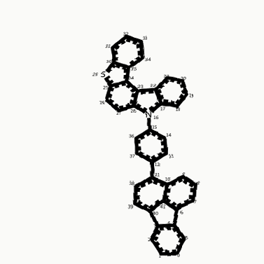 c1ccc2c(c1)-c1cccc3c(-c4ccc(-n5c6ccccc6c6c7c(ccc65)sc5ccccc57)cc4)ccc-2c13